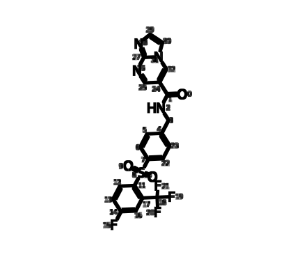 O=C(NCc1ccc(S(=O)(=O)c2ccc(F)cc2C(F)(F)F)cc1)c1cnc2nccn2c1